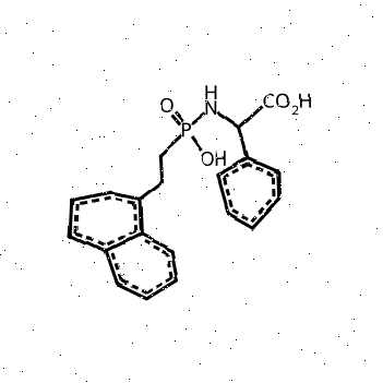 O=C(O)C(NP(=O)(O)CCc1cccc2ccccc12)c1ccccc1